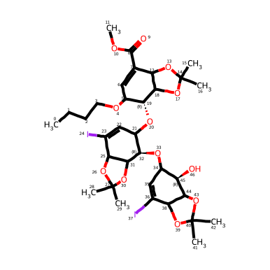 CCCCOC1C=C(C(=O)OC)C2OC(C)(C)OC2[C@@H]1OC1C=C(I)C2OC(C)(C)OC2[C@@H]1OC1C=C(I)C2OC(C)(C)OC2[C@@H]1O